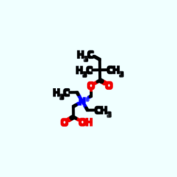 CCC(C)(C)C(=O)OC[N+](CC)(CC)CC(=O)O